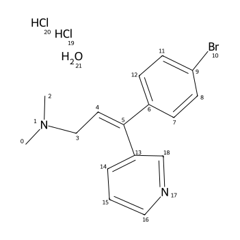 CN(C)C/C=C(/c1ccc(Br)cc1)c1cccnc1.Cl.Cl.O